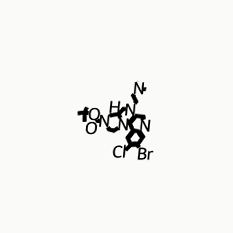 CN(C)CCN1C[C@H]2CN(C(=O)OC(C)(C)C)CCN2c2c1cnc1cc(Br)c(Cl)cc21